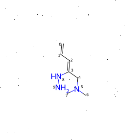 C=C/C=C(/CN(C)C)NN